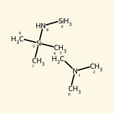 CN(C)C.C[Si](C)(C)N[SiH3]